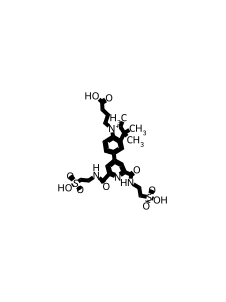 CC1=[N+](CCCC(=O)O)c2ccc(-c3cc(C(=O)NCCS(=O)(=O)O)nc(C(=O)NCCS(=O)(=O)O)c3)cc2C1(C)C